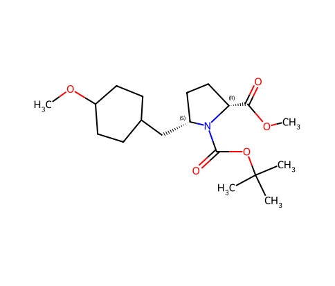 COC(=O)[C@H]1CC[C@@H](CC2CCC(OC)CC2)N1C(=O)OC(C)(C)C